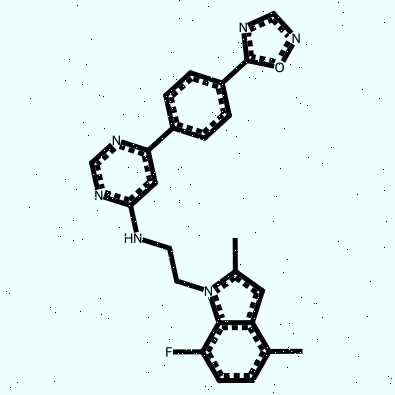 Cc1ccc(F)c2c1cc(C)n2CCNc1cc(-c2ccc(-c3ncno3)cc2)ncn1